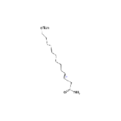 CCCCCCCCCCCCCCCCCC/C=C/CC(N)=O